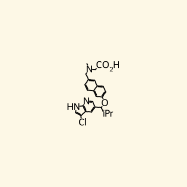 CC(C)C(Oc1ccc2cc(CN(C)CC(=O)O)ccc2c1)c1cnc2[nH]cc(Cl)c2c1